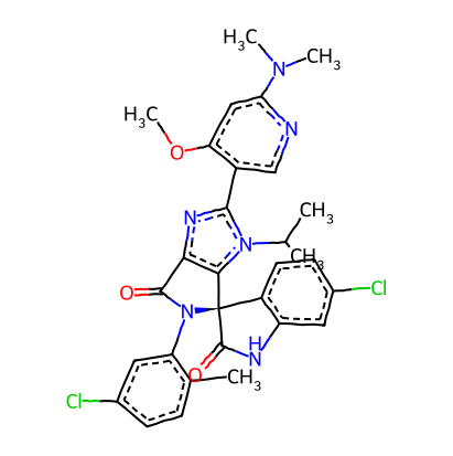 COc1cc(N(C)C)ncc1-c1nc2c(n1C(C)C)[C@]1(C(=O)Nc3cc(Cl)ccc31)N(c1cc(Cl)ccc1C)C2=O